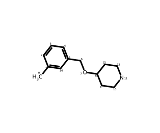 Cc1cccc(COC2CC[N]CC2)c1